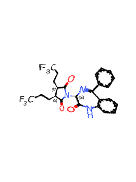 O=C1Nc2ccccc2C(c2ccccc2)=N[C@H]1N1C(=O)[C@@H](CCC(F)(F)F)[C@@H](CCC(F)(F)F)C1=O